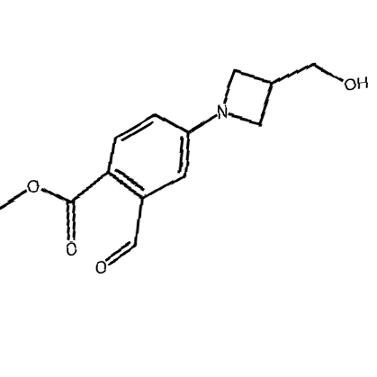 COC(=O)c1ccc(N2CC(CO)C2)cc1C=O